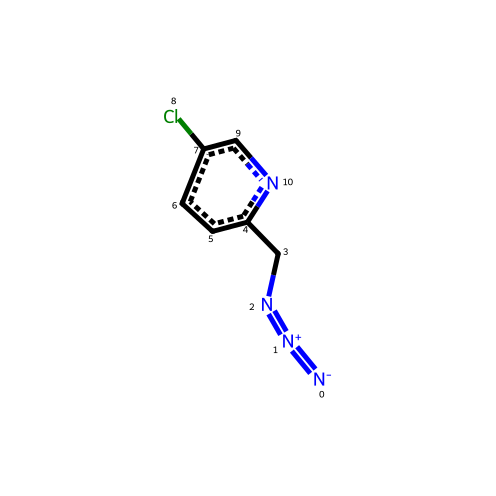 [N-]=[N+]=NCc1ccc(Cl)cn1